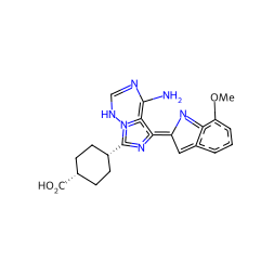 COc1cccc2c1=N/C(=c1/nc([C@H]3CC[C@@H](C(=O)O)CC3)n3c1=C(N)N=CN3)C=2